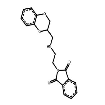 O=C1c2ccccc2C(=O)N1CCNCC1COc2ccccc2O1